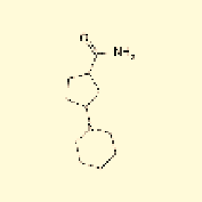 NC(=O)C1CCC(N2CCCCC2)C1